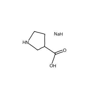 O=C(O)C1CCNC1.[NaH]